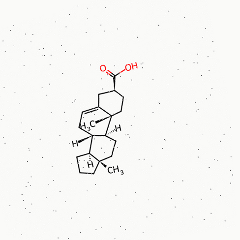 C[C@@]12CCC[C@H]1[C@@H]1CC=C3C[C@@H](C(=O)O)CC[C@]3(C)[C@H]1CC2